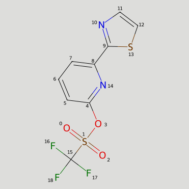 O=S(=O)(Oc1cccc(-c2nccs2)n1)C(F)(F)F